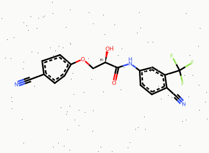 N#Cc1ccc(OC[C@@H](O)C(=O)Nc2ccc(C#N)c(C(F)(F)F)c2)cc1